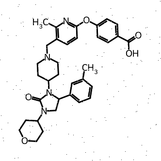 Cc1cccc(C2CN(C3CCOCC3)C(=O)N2C2CCN(Cc3ccc(Oc4ccc(C(=O)O)cc4)nc3C)CC2)c1